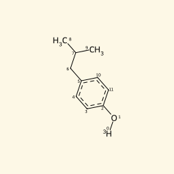 [3H]Oc1ccc(CC(C)C)cc1